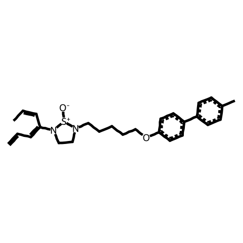 C=C/C=C(\C=C/C)N1CCN(CCCCCOc2ccc(-c3ccc(C)cc3)cc2)[S+]1[O-]